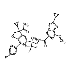 COc1cc(C(=O)NC[C@](O)(c2cc3c(c(-c4ccc(F)cc4)n2)OC[C@@]3(C(N)=O)C2CC2)C(F)(F)F)cc2sc(C3CC3)nc12